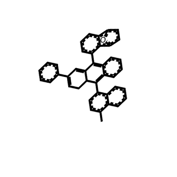 Cc1ccc(C2=c3ccccc3=C(c3cccc4c5ccc(o5)c34)C3=CC(c4ccccc4)=CCC32)c2ccccc12